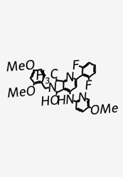 COc1ccc(Nc2cc(-c3c(F)cccc3F)nc3c2C(O)N(Cc2ccc(OC)cc2OC)C3C)nc1